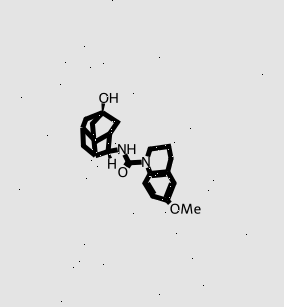 COc1ccc2c(c1)CCCN2C(=O)N[C@H]1C2CC3CC1C[C@](O)(C3)C2